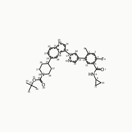 Cc1cc(F)c(C(=O)NC2CC2)cc1-c1cnn(-c2cnc3ccc(C4CCN(C(=O)OC(C)(C)C)CC4)cn23)c1